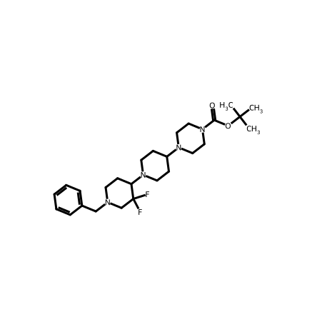 CC(C)(C)OC(=O)N1CCN(C2CCN(C3CCN(Cc4ccccc4)CC3(F)F)CC2)CC1